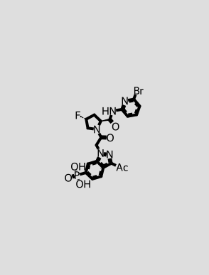 CC(=O)c1nn(CC(=O)N2C[C@H](F)C[C@H]2C(=O)Nc2cccc(Br)n2)c2cc(P(=O)(O)O)ccc12